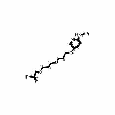 CC(C)Nc1ccc(OCCCOCCCOCC(=O)C(C)C)cn1